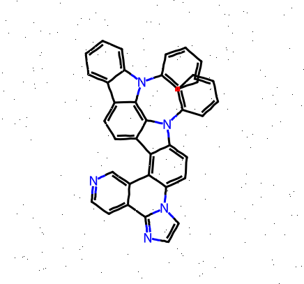 c1ccc(-n2c3ccccc3c3ccc4c5c6c7cnccc7c7nccn7c6ccc5n(-c5ccccc5)c4c32)cc1